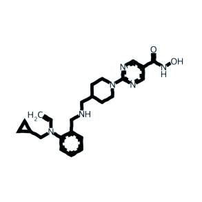 C=CN(CC1CC1)c1ccccc1CNCC1CCN(c2ncc(C(=O)NO)cn2)CC1